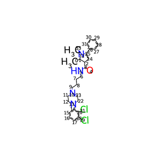 CC1C(C(=O)NCCCCN2CCN(c3cccc(Cl)c3Cl)CC2)C=C(c2ccccc2)N1C